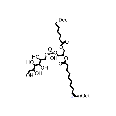 CCCCCCCC/C=C\CCCCCCCC(=O)OC(COC(=O)CCCCCCCCCCCCCCC)COP(=O)(O)OCC(O)C(O)C(O)C(O)CO